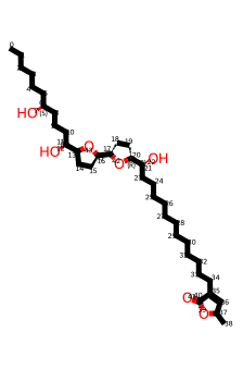 CCCCCC[C@H](O)CCC[C@H](O)C1CC[C@H]([C@@H]2CC[C@H]([C@H](O)CCCCCCCCCCCCC3=CC(C)OC3=O)O2)O1